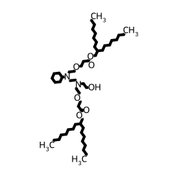 CCCCCCCCC(CCCCCCCC)COC(=O)CCOCCN(CCO)CCN(CCOCCC(=O)OCC(CCCCCCCC)CCCCCCCC)C1CCCCC1